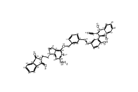 N#Cc1c(-c2cc(N=Nc3cccc(COc4nc(N)nc5c4ncn5CCN4C(=O)c5ccccc5C4=O)c3)ccc2O)[n+]([O-])c2ccccc2[n+]1[O-]